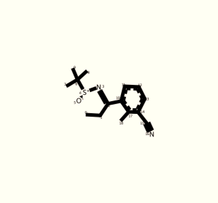 CC/C(=N\[S@@+]([O-])C(C)(C)C)c1cccc(C#N)c1C